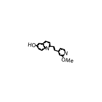 COc1cc(C=Cc2ccc3cc(O)ccc3n2)ccn1